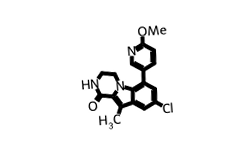 COc1ccc(-c2cc(Cl)cc3c(C)c4n(c23)CCNC4=O)cn1